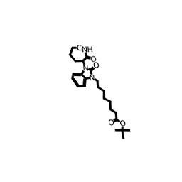 CC(C)(C)OC(=O)CCCCCCCn1c(=O)n(C2CCCCNC2=O)c2ccccc21